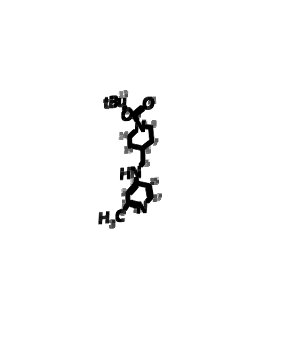 Cc1cc(NCC2CCN(C(=O)OC(C)(C)C)CC2)ccn1